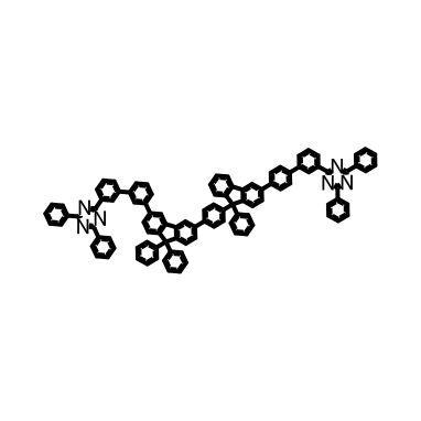 c1ccc(-c2nc(-c3ccccc3)nc(-c3cccc(-c4ccc(-c5ccc6c(c5)-c5ccccc5C6(c5ccccc5)c5ccc(-c6ccc7c(c6)-c6cc(-c8cccc(-c9cccc(-c%10nc(-c%11ccccc%11)nc(-c%11ccccc%11)n%10)c9)c8)ccc6C7(c6ccccc6)c6ccccc6)cc5)cc4)c3)n2)cc1